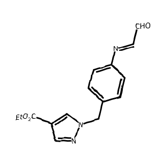 CCOC(=O)c1cnn(Cc2ccc(N=CC=O)cc2)c1